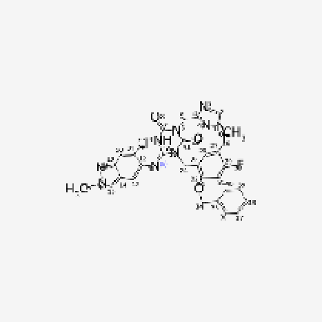 Cn1cnc(Cn2c(=O)[nH]/c(=N\c3cc4cn(C)nc4cc3Cl)n(Cc3cc(F)c(F)cc3OCc3ccccc3)c2=O)n1